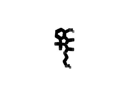 CCCOC(=O)N1C(=O)c2c(C)cccc2S1(=O)=O